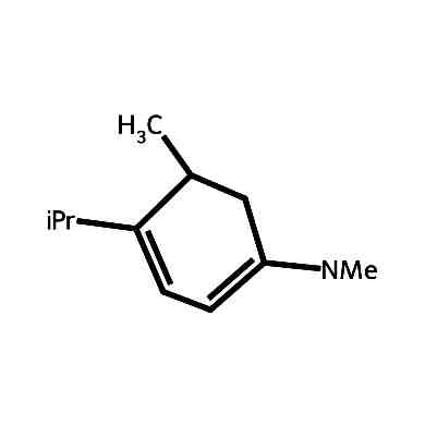 CNC1=CC=C(C(C)C)C(C)C1